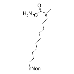 CCCCCCCCCCCCCCCCCCC=C(C)C(=O)ON